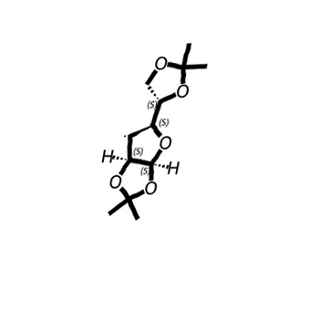 CC1(C)O[C@@H]2O[C@H]([C@@H]3COC(C)(C)O3)[CH][C@@H]2O1